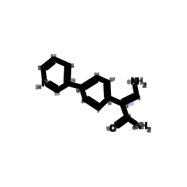 N/C=C(/C(N)=O)c1ccc(-c2cccnc2)cc1